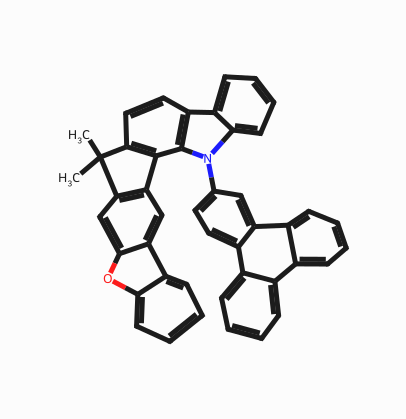 CC1(C)c2cc3oc4ccccc4c3cc2-c2c1ccc1c3ccccc3n(-c3ccc4c5ccccc5c5ccccc5c4c3)c21